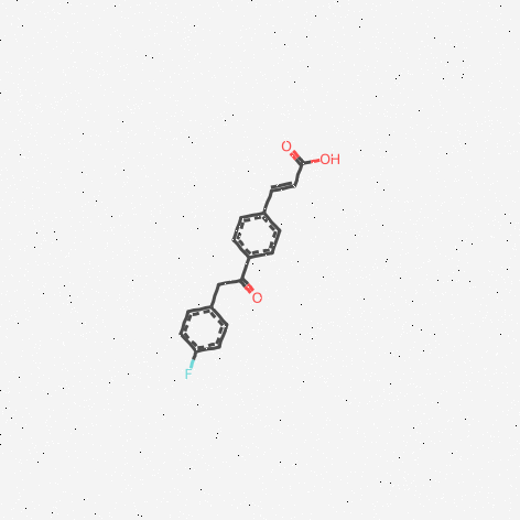 O=C(O)C=Cc1ccc(C(=O)Cc2ccc(F)cc2)cc1